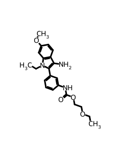 CCOCCOC(=O)Nc1cccc(-c2c(N)c3ccc(OC)cc3n2CC)c1